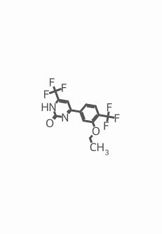 CCOc1cc(-c2cc(C(F)(F)F)[nH]c(=O)n2)ccc1C(F)(F)F